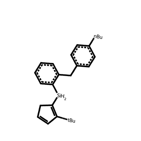 CCCCc1ccc(Cc2ccccc2[SiH2]C2=C(C(C)(C)C)C=CC2)cc1